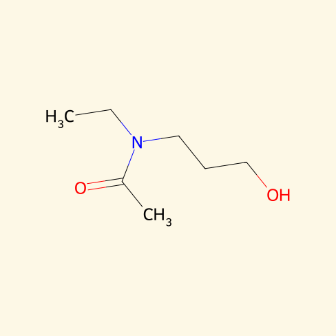 CCN(CCCO)C(C)=O